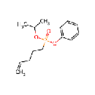 C=CCCCP(=O)(Oc1ccccc1)OC(C)C